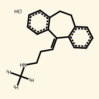 Cl.[2H]C([2H])([2H])NCCC=C1c2ccccc2CCc2ccccc21